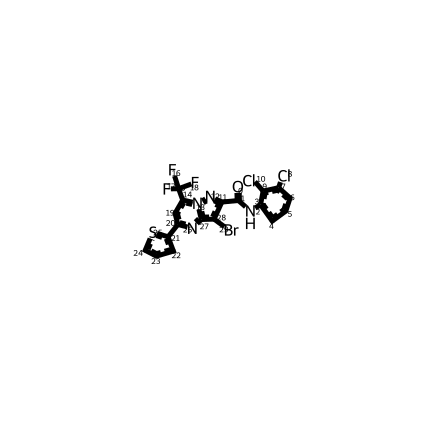 O=C(Nc1cccc(Cl)c1Cl)c1nn2c(C(F)(F)F)cc(-c3cccs3)nc2c1Br